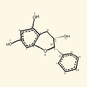 Oc1cc(O)c2c(c1)O[C@@H](c1ccccc1)[C@@H](O)C2